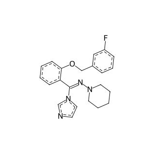 Fc1cccc(COc2ccccc2C(=NN2CCCCC2)n2ccnc2)c1